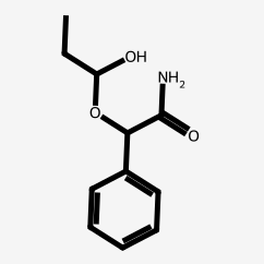 CCC(O)OC(C(N)=O)c1ccccc1